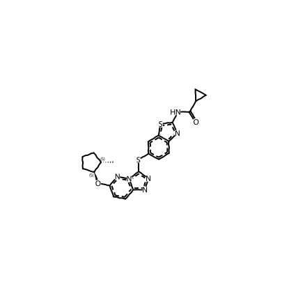 C[C@H]1CCC[C@@H]1Oc1ccc2nnc(Sc3ccc4nc(NC(=O)C5CC5)sc4c3)n2n1